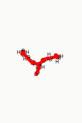 [N-]=[N+]=NCCOCC(=O)Nc1cc(C#Cc2ccc(COCCNC(=O)CCCCC3SCC4NC(=O)NC43)cc2)cc(C#Cc2ccc(COCCNC(=O)CCCCC3SCC4NC(=O)NC43)cc2)c1